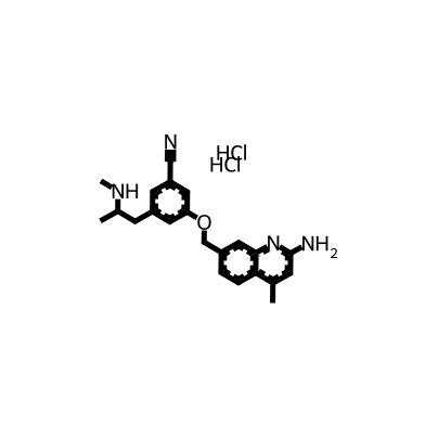 CNC(C)Cc1cc(C#N)cc(OCc2ccc3c(C)cc(N)nc3c2)c1.Cl.Cl